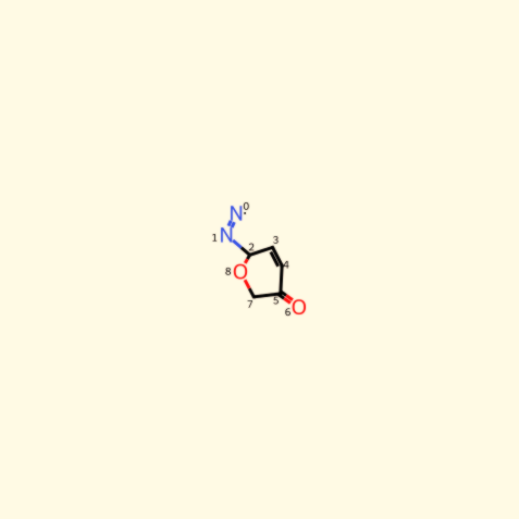 [N]=NC1C=CC(=O)CO1